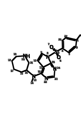 Cc1ccc(S(=O)(=O)n2ccc3c(N(C)C4CCCCNC4)ncnc32)cc1